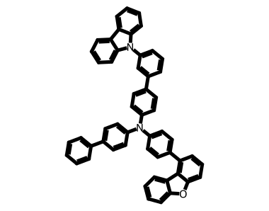 c1ccc(-c2ccc(N(c3ccc(-c4cccc(-n5c6ccccc6c6ccccc65)c4)cc3)c3ccc(-c4cccc5oc6ccccc6c45)cc3)cc2)cc1